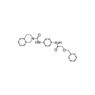 O=C(COCc1ccccc1)[AsH]c1ccc(NC(=O)N2CCc3ccccc3C2)cc1